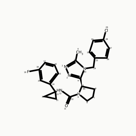 Cc1nnc([C@H]2CCCN2C(=O)NC2(c3cccc(F)c3)CC2)n1Cc1ccc(Cl)cc1